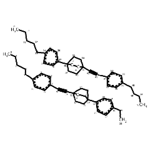 CCCCCc1ccc(C#CC23CCC(c4ccc(CC)cc4)(CC2)CC3)cc1.CCCCCc1ccc(C23CCC(C#Cc4ccc(CCCC)cc4)(CC2)CC3)cc1